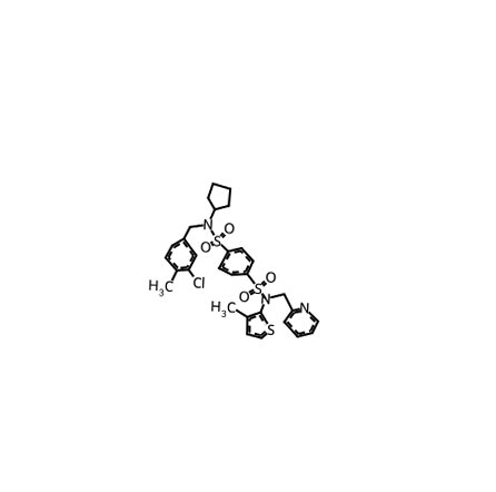 Cc1ccc(CN(C2CCCC2)S(=O)(=O)c2ccc(S(=O)(=O)N(Cc3ccccn3)c3sccc3C)cc2)cc1Cl